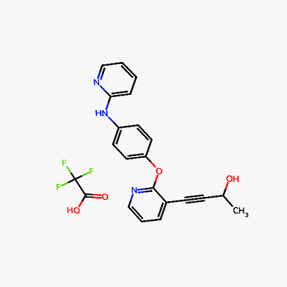 CC(O)C#Cc1cccnc1Oc1ccc(Nc2ccccn2)cc1.O=C(O)C(F)(F)F